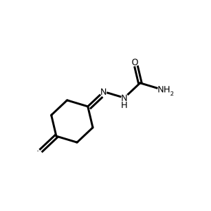 [CH]=C1CCC(=NNC(N)=O)CC1